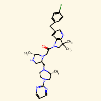 C[C@@H]1CN(CC(=O)N2CC(C)(C)c3ncc(Cc4ccc(F)cc4)cc32)[C@@H](CN2CCN(c3ncccn3)C[C@H]2C)CN1